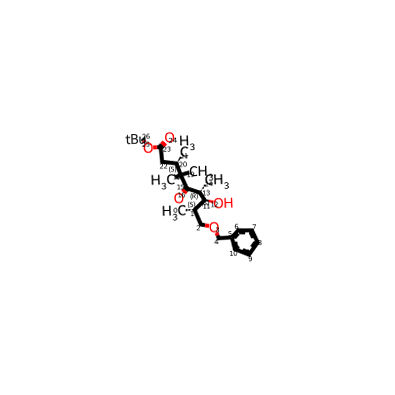 C[C@@H](COCc1ccccc1)[C@H](O)[C@@H](C)C(=O)C(C)(C)[C@@H](C)CC(=O)OC(C)(C)C